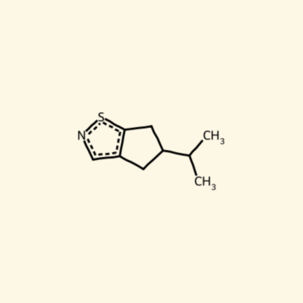 CC(C)C1Cc2cnsc2C1